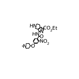 CCOC(=O)n1nc(NC(=O)c2ccc(OC3CCN(C)CC3)cc2[N+](=O)[O-])c2c1CCNC2